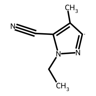 CCn1n[c]c(C)c1C#N